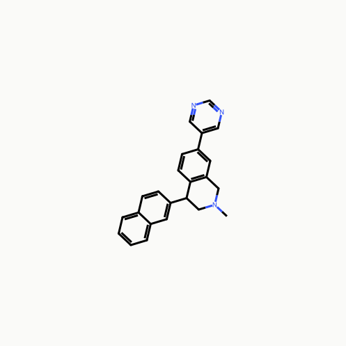 CN1Cc2cc(-c3cncnc3)ccc2C(c2ccc3ccccc3c2)C1